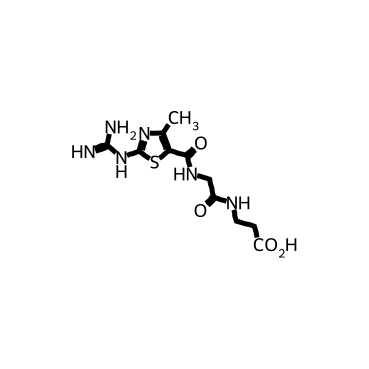 Cc1nc(NC(=N)N)sc1C(=O)NCC(=O)NCCC(=O)O